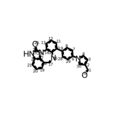 O=Cc1ccn(-c2ccc(-c3cccc4c3N=Cc3cccc5[nH]c(=O)n-4c35)cc2)c1